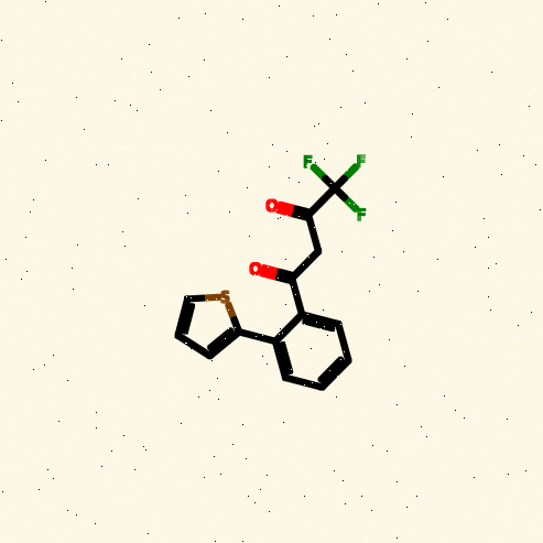 O=C(CC(=O)C(F)(F)F)c1ccccc1-c1cccs1